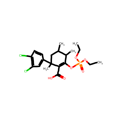 CCOP(=O)(OCC)OC1=C(C(=O)O)C(C)(c2ccc(Cl)c(Cl)c2)CC(C)C1C